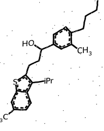 Cc1cc(C(O)CCc2sc3cc(C(F)(F)F)ccc3c2C(C)C)ccc1CCCO